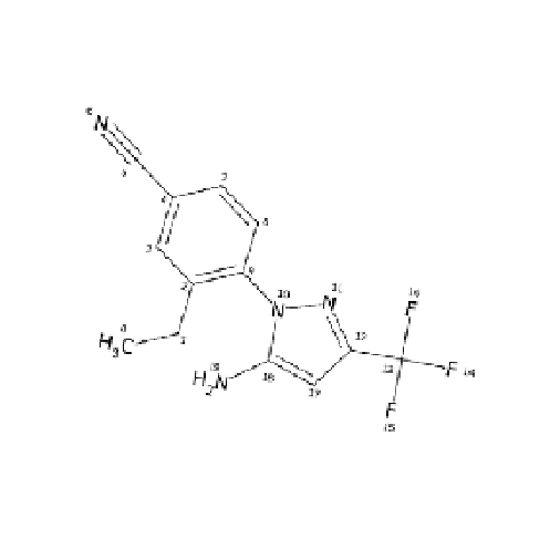 CCc1cc(C#N)ccc1-n1nc(C(F)(F)F)cc1N